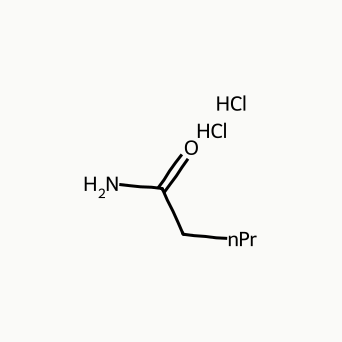 CCCCC(N)=O.Cl.Cl